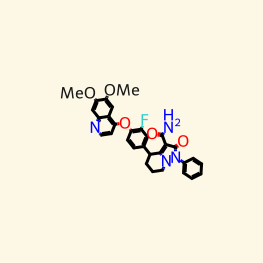 COc1cc2nccc(Oc3ccc(C4CCCn5c4c(C(N)=O)c(=O)n5-c4ccccc4)cc3F)c2cc1OC